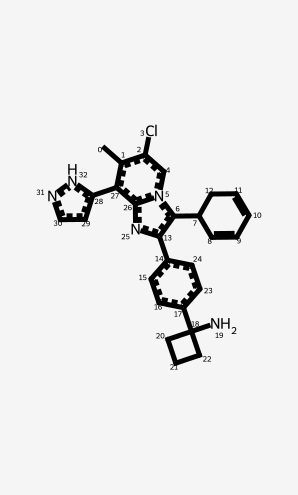 Cc1c(Cl)cn2c(C3C=CC=CC3)c(-c3ccc(C4(N)CCC4)cc3)nc2c1-c1ccn[nH]1